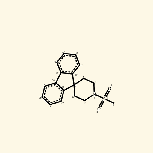 CS(=O)(=O)N1CCC2(CC1)c1ccccc1-c1ccccc12